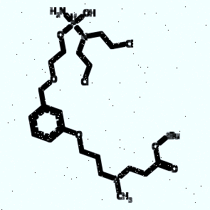 CN(CCCOc1cccc(COCCO[PH](N)(O)N(CCCl)CCCl)c1)CCC(=O)OC(C)(C)C